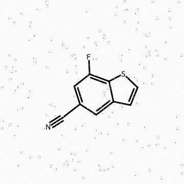 N#Cc1cc(F)c2sccc2c1